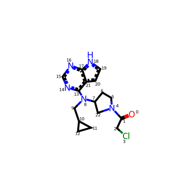 O=C(CCl)N1CCC(N(CC2CC2)c2ncnc3[nH]ccc23)C1